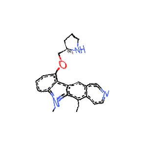 Cc1c2ccncc2cc2c3c(OC[C@H]4CCCN4)cccc3n(C)c12